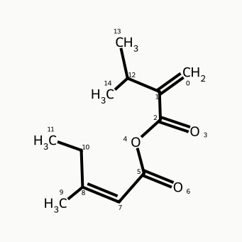 C=C(C(=O)OC(=O)/C=C(/C)CC)C(C)C